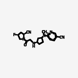 CN(c1ccc(C#N)cn1)C1CC[C@@H](NCC(=O)N2C[C@@H](F)C[C@H]2C#N)C1